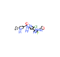 CCC1CCC(C(=O)Nc2cc(-c3cnc(F)c(NCC4CCOCC4)n3)c(Cl)cn2)CN1